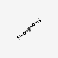 C=C(C)C(=O)OCCOc1ccc(/C=C/c2ccc(/C=C/c3ccc(OCCOC(=O)C(=C)C)cc3)c(F)c2)cc1